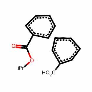 CC(C)OC(=O)c1ccccc1.O=C(O)c1ccccc1